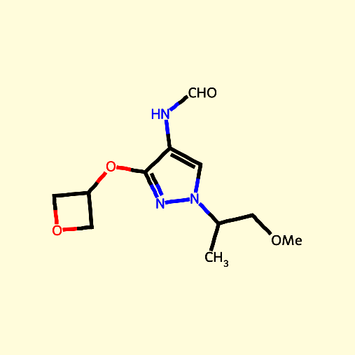 COCC(C)n1cc(NC=O)c(OC2COC2)n1